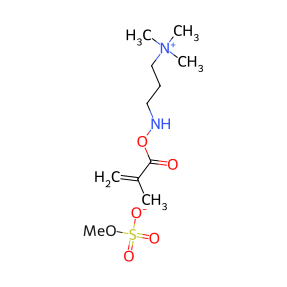 C=C(C)C(=O)ONCCC[N+](C)(C)C.COS(=O)(=O)[O-]